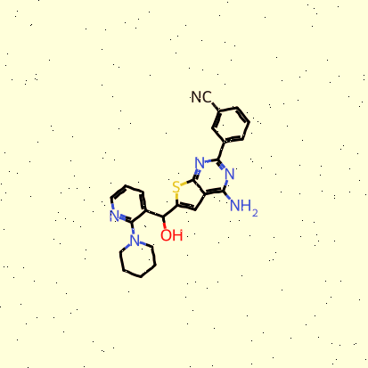 N#Cc1cccc(-c2nc(N)c3cc(C(O)c4cccnc4N4CCCCC4)sc3n2)c1